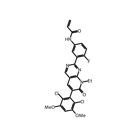 C=CC(=O)Nc1ccc(F)c(-c2ncc3cc(-c4c(Cl)c(OC)cc(OC)c4Cl)c(=O)n(CC)c3n2)c1